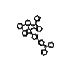 c1ccc(N(c2ccccc2)c2ccc(-c3ccc(-n4c5cccc6c5c5c7c(cccc7c7c(c8ccccc8n7-c7ccccc7)c54)-c4ccccc4-6)cc3)cc2)cc1